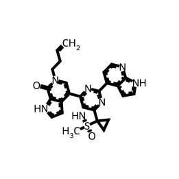 C=CCCn1cc(-c2cc(C3(S(C)(=N)=O)CC3)nc(-c3ccnc4[nH]ccc34)n2)c2cc[nH]c2c1=O